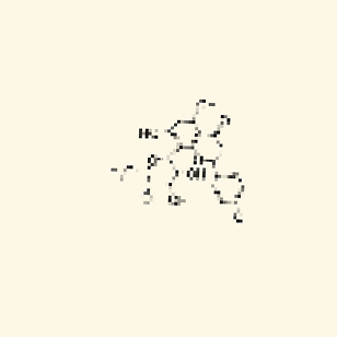 C[C@@H]1O[C@@H](c2c(O)cc(O)c3c2OC(c2ccc(O)cc2)CC3=O)[C@H](O)[C@H](O)[C@H]1O